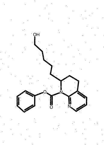 O=C(Oc1ccccc1)N1c2ncccc2CCC1CCCCCO